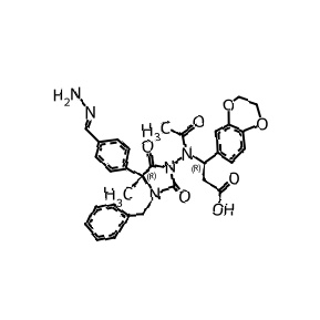 CC(=O)N([C@H](CC(=O)O)c1ccc2c(c1)OCCO2)N1C(=O)N(Cc2ccccc2)[C@](C)(c2ccc(C=NN)cc2)C1=O